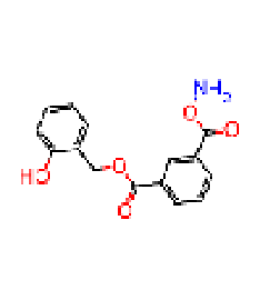 NOC(=O)c1cccc(C(=O)OCc2ccccc2O)c1